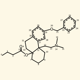 CCCC(=O)OC12CCCCC1(CCN(C)C)c1cc(OCc3ccccc3)ccc1CC2